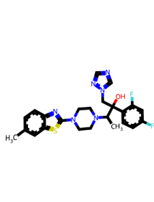 Cc1ccc2nc(N3CCN(C(C)C(O)(Cn4cncn4)c4ccc(F)cc4F)CC3)sc2c1